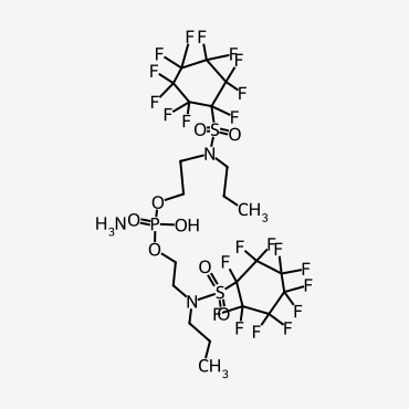 CCCN(CCOP(=O)(O)OCCN(CCC)S(=O)(=O)C1(F)C(F)(F)C(F)(F)C(F)(F)C(F)(F)C1(F)F)S(=O)(=O)C1(F)C(F)(F)C(F)(F)C(F)(F)C(F)(F)C1(F)F.N